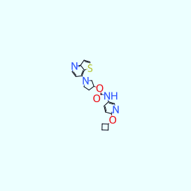 O=C(Nc1ccc(OC2CCC2)nc1)OC1CCN(c2ccnc3ccsc23)C1